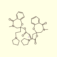 CN1CC(CCN2CCCC2)(OC(=O)/C=C/C(=O)OC2(CCN3CCCC3)CN(C)C(=O)c3ccccc3O2)Oc2ccccc2C1=O